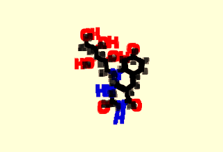 O=c1ccc2cc3c(=O)[nH]c(=O)[nH]c3n(C[C@H](O)[C@H](O)[C@H](O)CO)c-2c1